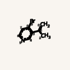 C=C(C)c1cnccc1Br